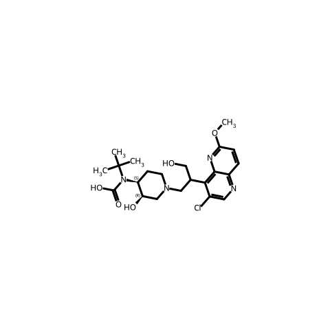 COc1ccc2ncc(Cl)c(C(CO)CN3CC[C@H](N(C(=O)O)C(C)(C)C)[C@H](O)C3)c2n1